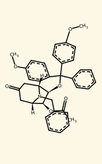 COc1ccc(C(O[C@H]2[C@@H](OC(C)=O)[C@@H]3CC(=O)C[C@H]2N3Cc2ccccc2)(c2ccccc2)c2ccc(OC)cc2)cc1